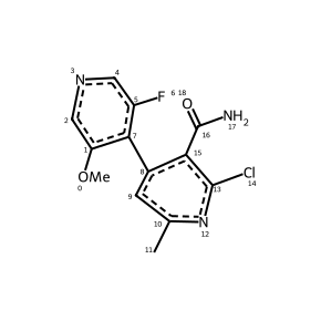 COc1cncc(F)c1-c1cc(C)nc(Cl)c1C(N)=O